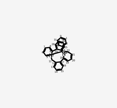 c1ccc(N2c3cccc4[n+]3Cc3ccccc3-c3cccc2[n+]3-c2ccccc2-4)cc1